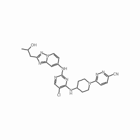 CC(O)Cc1nc2cc(Nc3ncc(Cl)c(NC4CCN(c5ccc(C#N)nn5)CC4)n3)ccn2n1